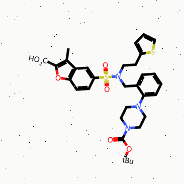 Cc1c(C(=O)O)oc2ccc(S(=O)(=O)N(CCc3cccs3)Cc3ccccc3N3CCN(C(=O)OC(C)(C)C)CC3)cc12